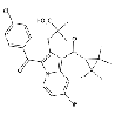 CC(C)c1ccn2c(C(=O)c3ccc(Cl)cc3)c(CC(C)(C)C(=O)O)c(C(=O)C3C(C)(C)C3(C)C)c2c1